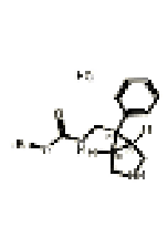 CC(C)(C)OC(=O)NC[C@@]1(c2ccccc2)[C@@H]2CNC[C@@H]21.Cl